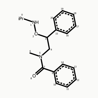 CC(C)NOC(CN(C)C(=O)c1ccccc1)c1ccccc1